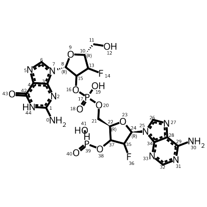 Nc1nc2c(ncn2[C@@H]2O[C@H](CO)C(F)C2OP(=O)(O)OC[C@H]2O[C@@H](n3cnc4c(N)ncnc43)C(F)C2O[PH](=O)O)c(=O)[nH]1